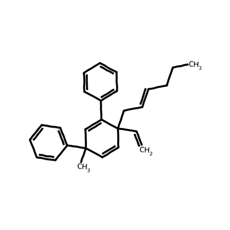 C=CC1(CC=CCCC)C=CC(C)(c2ccccc2)C=C1c1ccccc1